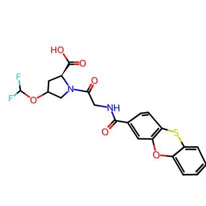 O=C(NCC(=O)N1CC(OC(F)F)C[C@H]1C(=O)O)c1ccc2c(c1)Oc1ccccc1S2